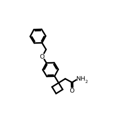 NC(=O)CC1(c2ccc(OCc3ccccc3)cc2)CCC1